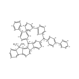 CC1(C)c2ccccc2-c2ccc3c4ccc(N(c5ccc(-c6ccccc6)cc5)c5cccc(-c6ccccc6)c5)cc4n(-c4ccc(-c5ccccc5)cc4)c3c21